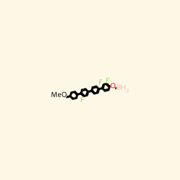 BCOc1ccc(-c2ccc(-c3ccc(C4=CCC(COC)CC4)c(F)c3)cc2)c(F)c1F